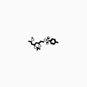 COC(C)CC1CC(CCOS(=O)(=O)c2ccc(C)cc2)OC(C)(C)O1